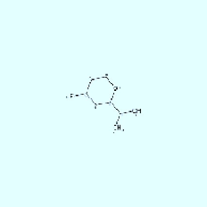 CC(O)C1CC(F)CCO1